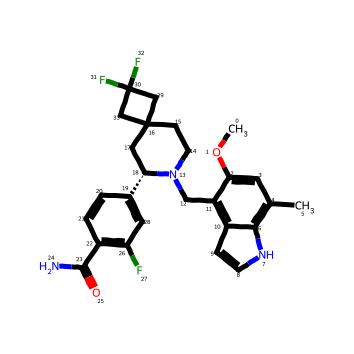 COc1cc(C)c2[nH]ccc2c1CN1CCC2(C[C@H]1c1ccc(C(N)=O)c(F)c1)CC(F)(F)C2